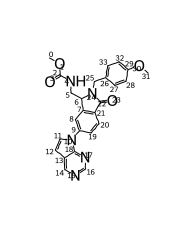 COC(=O)NCC1c2cc(-n3ccc4cncnc43)ccc2C(=O)N1Cc1ccc(OC)cc1